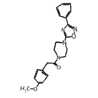 COc1ccc(CC(=O)N2CCN(c3nc(-c4ccccc4)no3)CC2)cc1